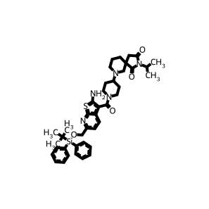 CC(C)N1C(=O)CC2(CCCN(C3CCN(C(=O)c4c(N)sc5nc(CO[Si](c6ccccc6)(c6ccccc6)C(C)(C)C)ccc45)CC3)C2)C1=O